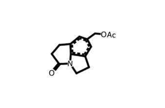 CC(=O)OCc1cc2c3c(c1)CCN3C(=O)CC2